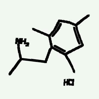 Cc1cc(C)c(CC(C)N)c(C)c1.Cl